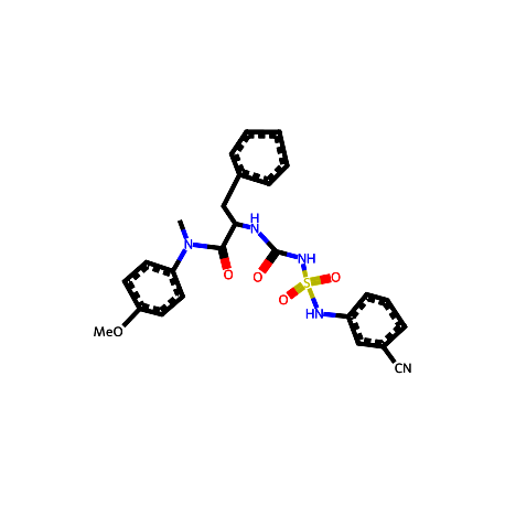 COc1ccc(N(C)C(=O)C(Cc2ccccc2)NC(=O)NS(=O)(=O)Nc2cccc(C#N)c2)cc1